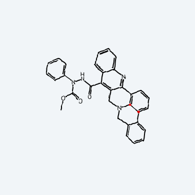 COC(=O)N(NC(=O)c1c(CN2CCc3ccccc3C2)c(-c2ccccc2)nc2ccccc12)c1ccccc1